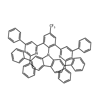 FC(F)(F)c1cc(-c2cc(-c3ccccc3)nc(-c3ccccc3)n2)c(-n2c3cc(-c4ccccc4)ccc3c3ccc(-c4ccccc4)cc32)c(-c2cc(-c3ccccc3)nc(-c3ccccc3)n2)c1